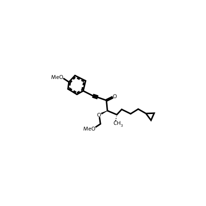 COCO[C@@H](C(=O)C#Cc1ccc(OC)cc1)[C@@H](C)CCCC1CC1